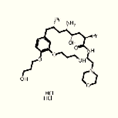 CC(C)[C@@H](Cc1ccc(OCCCO)c(OCCCO)c1)C[C@H](N)[C@@H](O)C[C@H](C(=O)NCCN1CCOCC1)C(C)C.Cl.Cl